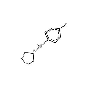 C1CCOC1.Fc1cc[c]([Mg][Br])cc1